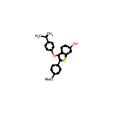 C=C(C)c1ccc(Oc2c(-c3ccc(OC)cc3)sc3cc(O)ccc23)cc1